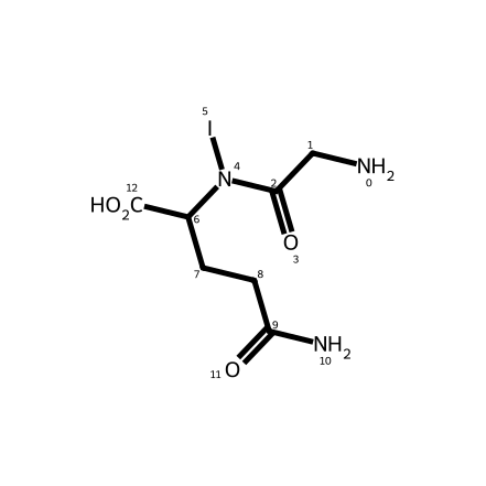 NCC(=O)N(I)C(CCC(N)=O)C(=O)O